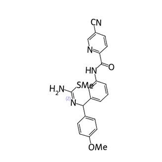 COc1ccc(C(/N=C(/N)SC)c2cccc(NC(=O)c3ccc(C#N)cn3)c2)cc1